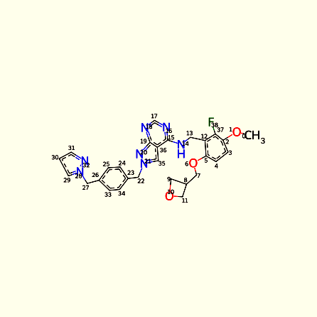 COc1ccc(OCC2COC2)c(CNc2ncnc3nn(Cc4ccc(Cn5cccn5)cc4)cc23)c1F